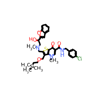 CN(Cc1sc2c(=O)c(C(=O)NCc3ccc(Cl)cc3)cn(C)c2c1COCC[Si](C)(C)C)CC(O)c1cc2ccccc2o1